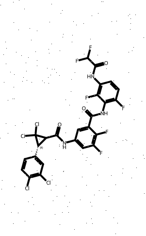 O=C(Nc1c(F)ccc(NC(=O)C(F)F)c1F)c1cc(NC(=O)C2[C@H](c3ccc(Cl)c(Cl)c3)C2(Cl)Cl)cc(F)c1F